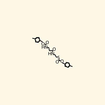 Cc1ccc(COC(=O)NCCC(=O)NCCSC(=O)OCc2ccc(C)cc2)cc1